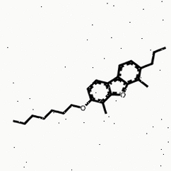 CCCCCCCOc1ccc2c(oc3c(C)c(CCC)ccc32)c1C